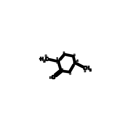 [CH2]N1CCN(C)CC1=O